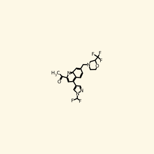 CC(=O)c1cc(-c2cnn(C(F)F)c2)c2ccc(CN3CCOC(C(F)(F)F)C3)cc2n1